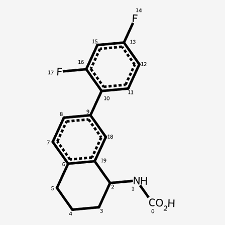 O=C(O)NC1CCCc2ccc(-c3ccc(F)cc3F)cc21